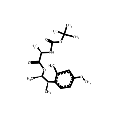 COc1ccc([C@@H](C)[C@@H](C)OC(=O)[C@@H](C)NC(=O)OC(C)(C)C)c(C)c1